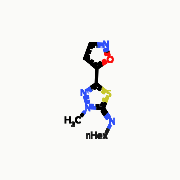 CCCCCCN=c1sc(-c2ccno2)nn1C